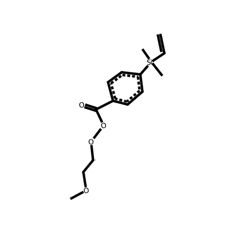 C=C[Si](C)(C)c1ccc(C(=O)OO[CH]COC)cc1